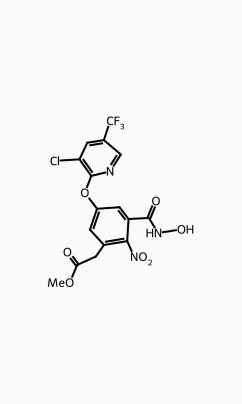 COC(=O)Cc1cc(Oc2ncc(C(F)(F)F)cc2Cl)cc(C(=O)NO)c1[N+](=O)[O-]